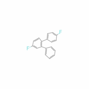 Fc1ccc(-c2ccc(F)cc2-c2ccccc2)cc1